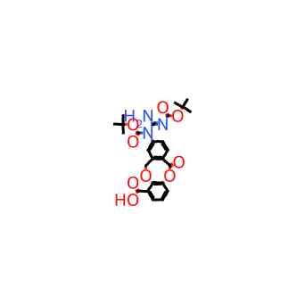 CC(C)(C)OC(=O)N=C(N)N(C(=O)OC(C)(C)C)c1ccc2c(c1)COc1c(cccc1C(=O)O)OC2=O